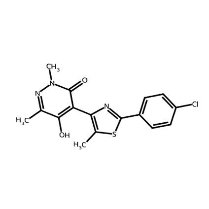 Cc1nn(C)c(=O)c(-c2nc(-c3ccc(Cl)cc3)sc2C)c1O